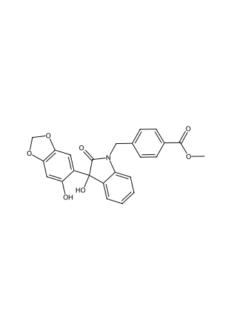 COC(=O)c1ccc(CN2C(=O)C(O)(c3cc4c(cc3O)OCO4)c3ccccc32)cc1